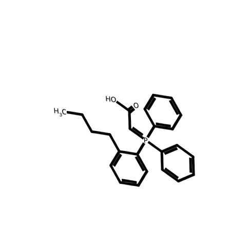 CCCCc1ccccc1P(=CC(=O)O)(c1ccccc1)c1ccccc1